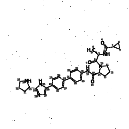 C[C@@H](NC(=O)C1CC1)C(=O)N1CCC[C@H]1C(=O)Nc1ccc(-c2ccc(-c3cnc([C@@H]4CCCN4)[nH]3)cc2)cc1